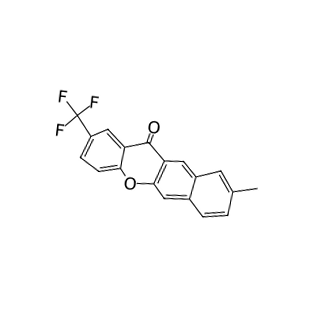 Cc1ccc2cc3oc4ccc(C(F)(F)F)cc4c(=O)c3cc2c1